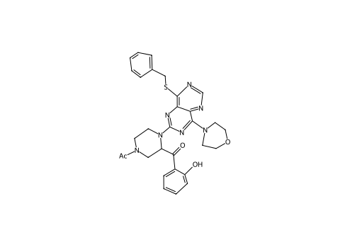 CC(=O)N1CCN(c2nc(N3CCOCC3)c3ncnc(SCc4ccccc4)c3n2)C(C(=O)c2ccccc2O)C1